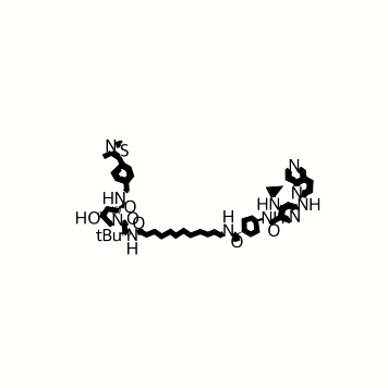 Cc1ncsc1-c1ccc(CNC(=O)[C@@H]2C[C@@H](O)CN2C(=O)[C@H](NC(=O)CCCCCCCCCCCNC(=O)[C@H]2CC[C@H](NC(=O)c3cnc(Nc4ccc5cnccc5n4)cc3NC3CC3)CC2)C(C)(C)C)cc1